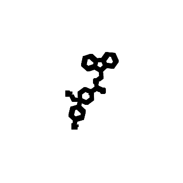 O=C(OCC1c2ccccc2-c2ccccc21)N1CCC(CBr)(c2ccc(Br)cc2)CC1